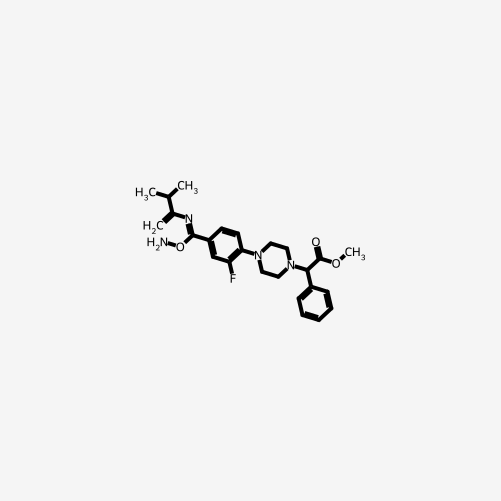 C=C(/N=C(\ON)c1ccc(N2CCN(C(C(=O)OC)c3ccccc3)CC2)c(F)c1)C(C)C